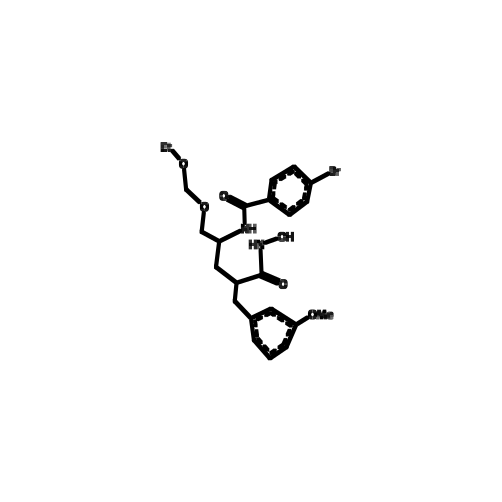 CCOCOCC(CC(Cc1cccc(OC)c1)C(=O)NO)NC(=O)c1ccc(Br)cc1